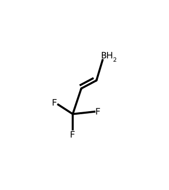 B/C=C/C(F)(F)F